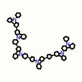 c1ccc(-n2c3ccccc3c3cc(-c4ccc5c(c4)c4ccccc4n5-c4cccc(-c5ccc6c(c5)c5ccccc5n6-c5ccc(-c6ccc(-n7c8ccccc8c8cc(-c9ccc(-c%10ccc%11c(c%10)c%10ccccc%10n%11-c%10ccc%11c(c%10)c%10ccccc%10n%11-c%10ccccc%10)cc9)ccc87)cc6)cc5)c4)ccc32)cc1